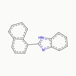 c1ccc2c(-c3nc4ccccc4[nH]3)cccc2c1